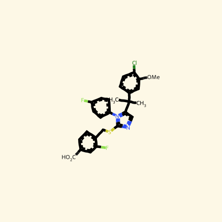 COc1cc(C(C)(C)c2cnc(SCc3ccc(C(=O)O)cc3F)n2-c2ccc(F)cc2)ccc1Cl